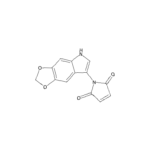 O=C1C=CC(=O)N1c1c[nH]c2cc3c(cc12)OCO3